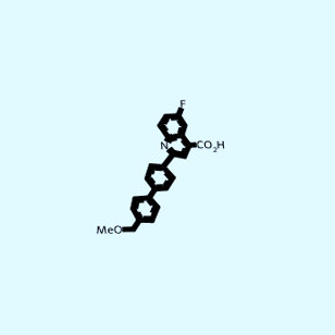 COCc1ccc(-c2ccc(-c3cc(C(=O)O)c4cc(F)ccc4n3)cc2)cc1